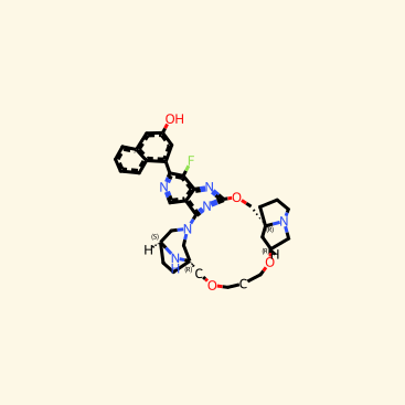 Oc1cc(-c2ncc3c4nc(nc3c2F)OC[C@]23CCCN2C[C@@H](C3)OCCCOC[C@@]23CC[C@@H](CN4C2)N3)c2ccccc2c1